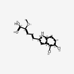 CO/C(=C\C=C\c1cc2c(Cl)c(Cl)ccc2[nH]1)C(=O)O